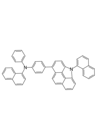 c1ccc(N(c2ccc(-c3ccc4c5c3ccc3cccc(c35)n4-c3cccc4ccccc34)cc2)c2cccc3ccccc23)cc1